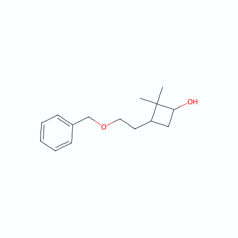 CC1(C)C(O)CC1CCOCc1ccccc1